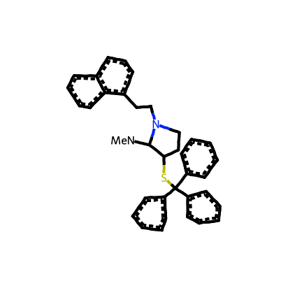 CNC1C(SC(c2ccccc2)(c2ccccc2)c2ccccc2)CCN1CCc1cccc2ccccc12